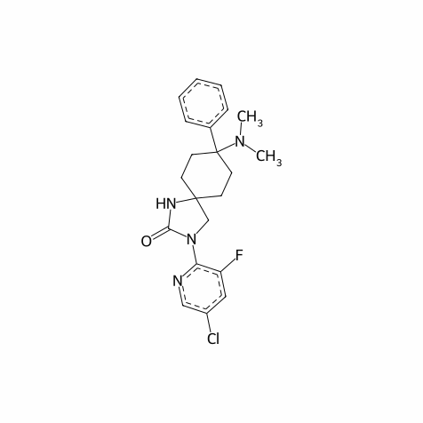 CN(C)C1(c2ccccc2)CCC2(CC1)CN(c1ncc(Cl)cc1F)C(=O)N2